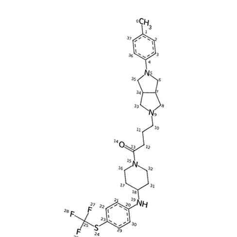 Cc1ccc(N2CC3CN(CCCC(=O)N4CCC(Nc5ccc(SC(F)(F)F)cc5)CC4)CC3C2)cc1